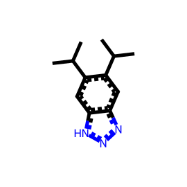 CC(C)c1cc2nn[nH]c2cc1C(C)C